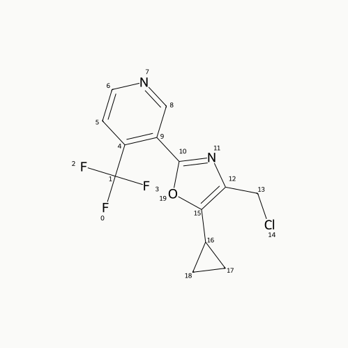 FC(F)(F)c1ccncc1-c1nc(CCl)c(C2CC2)o1